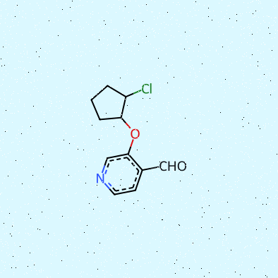 O=Cc1ccncc1OC1CCCC1Cl